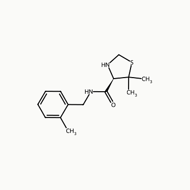 Cc1ccccc1CNC(=O)[C@H]1NCSC1(C)C